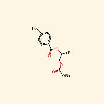 CCCC(COC(=O)OCC(C)C)OC(=O)c1ccc(C)cc1